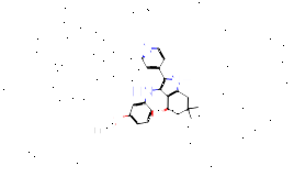 CCCOc1cccc(Nc2c(-c3ccncc3)[nH]c3c2C(=O)CC(C)(C)C3)c1